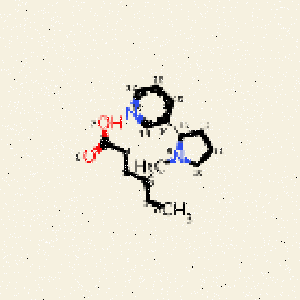 CCCCCC(=O)O.CN1CCC[C@H]1c1cccnc1